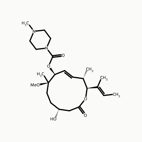 C/C=C(\C)[C@H]1OC(=O)C[C@H](O)CC[C@@](C)(OC)[C@@H](OC(=O)N2CCN(C)CC2)/C=C/[C@@H]1C